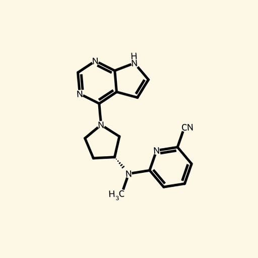 CN(c1cccc(C#N)n1)[C@@H]1CCN(c2ncnc3[nH]ccc23)C1